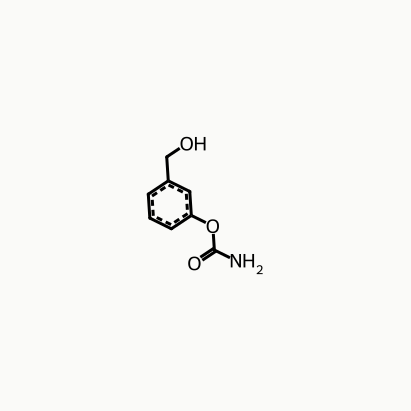 NC(=O)Oc1cccc(CO)c1